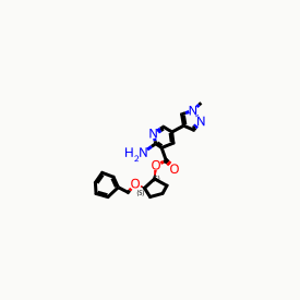 Cn1cc(-c2cnc(N)c(C(=O)O[C@H]3CCC[C@@H]3OCc3ccccc3)c2)cn1